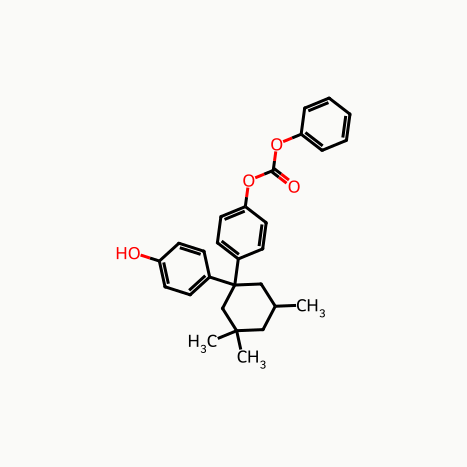 CC1CC(C)(C)CC(c2ccc(O)cc2)(c2ccc(OC(=O)Oc3ccccc3)cc2)C1